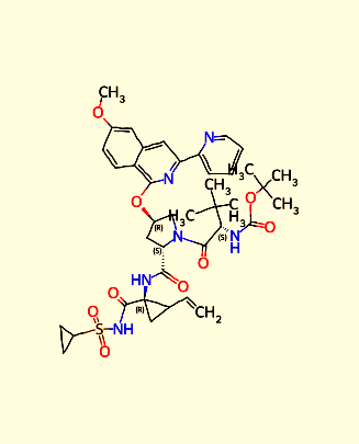 C=CC1C[C@]1(NC(=O)[C@@H]1C[C@@H](Oc2nc(-c3ccccn3)cc3cc(OC)ccc23)CN1C(=O)[C@@H](NC(=O)OC(C)(C)C)C(C)(C)C)C(=O)NS(=O)(=O)C1CC1